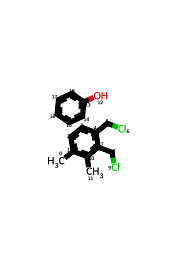 Cc1ccc(CCl)c(CCl)c1C.Oc1ccccc1